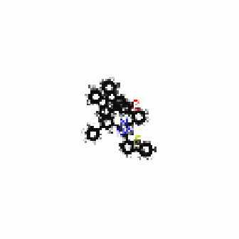 c1ccc(-c2cccc(-c3nc(-c4cccc5c4sc4ccccc45)nc(-c4cccc5oc6ccc(-c7cccc8c7C7(c9ccccc9-c9ccccc97)c7ccccc7-8)cc6c45)n3)c2)cc1